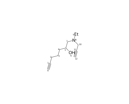 C#CCCCC(O)CN(CC)CC#C